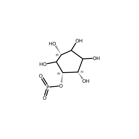 O=P(=O)O[C@@H]1C(O)[C@H](O)C(O)C(O)[C@@H]1O